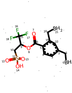 BCc1ccc(C(=O)OC(CS(=O)(=O)O)C(F)(F)F)c(CB)c1